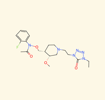 CCn1nnn(CCN2CC[C@@H](CON(C(C)=O)c3ccccc3F)[C@@H](OC)C2)c1=O